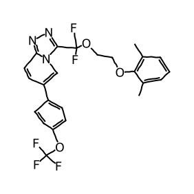 Cc1cccc(C)c1OCCOC(F)(F)c1nnc2ccc(-c3ccc(OC(F)(F)F)cc3)cn12